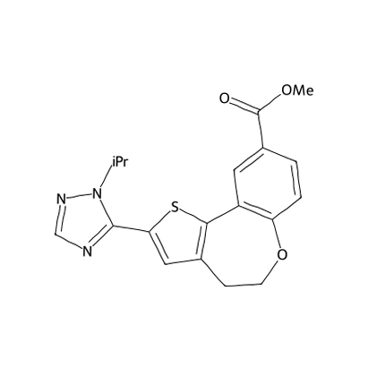 COC(=O)c1ccc2c(c1)-c1sc(-c3ncnn3C(C)C)cc1CCO2